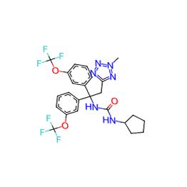 Cn1nnc(CC(NC(=O)NC2CCCC2)(c2cccc(OC(F)(F)F)c2)c2cccc(OC(F)(F)F)c2)n1